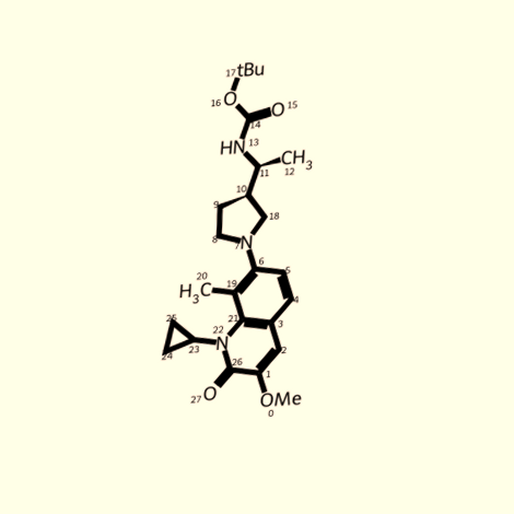 COc1cc2ccc(N3CC[C@@H]([C@H](C)NC(=O)OC(C)(C)C)C3)c(C)c2n(C2CC2)c1=O